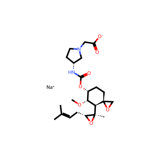 CO[C@@H]1[C@H](OC(=O)N[C@@H]2CCN(CC(=O)[O-])C2)CC[C@]2(CO2)[C@H]1[C@@]1(C)O[C@@H]1CC=C(C)C.[Na+]